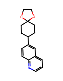 c1cnc2ccc(C3CCC4(CC3)OCCO4)cc2c1